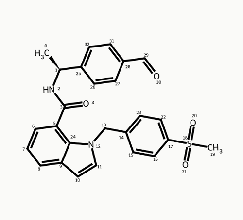 C[C@H](NC(=O)c1cccc2ccn(Cc3ccc(S(C)(=O)=O)cc3)c12)c1ccc(C=O)cc1